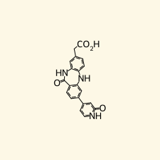 O=C(O)Cc1ccc2c(c1)NC(=O)c1ccc(-c3cc[nH]c(=O)c3)cc1N2